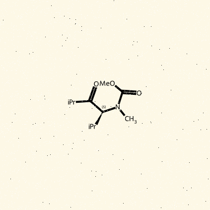 COC(=O)N(C)[C@H](C(=O)C(C)C)C(C)C